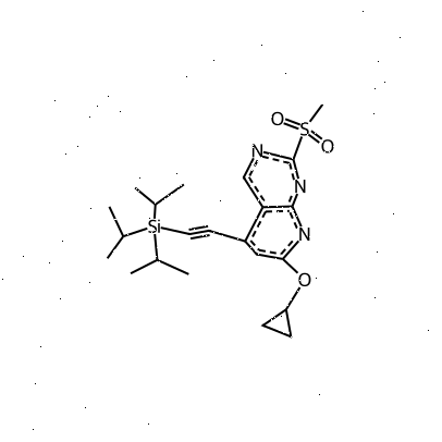 CC(C)[Si](C#Cc1cc(OC2CC2)nc2nc(S(C)(=O)=O)ncc12)(C(C)C)C(C)C